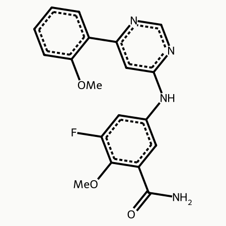 COc1ccccc1-c1cc(Nc2cc(F)c(OC)c(C(N)=O)c2)ncn1